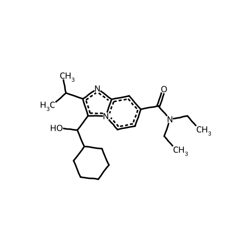 CCN(CC)C(=O)c1ccn2c(C(O)C3CCCCC3)c(C(C)C)nc2c1